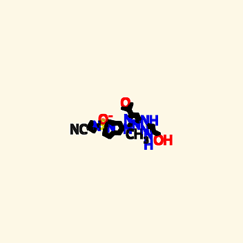 CN(c1nc(Nc2cc(CO)[nH]n2)cc(C2COC2)n1)C1CC2CCC3([S+]([O-])N4CC(C#N)C4)CC(C1)N23